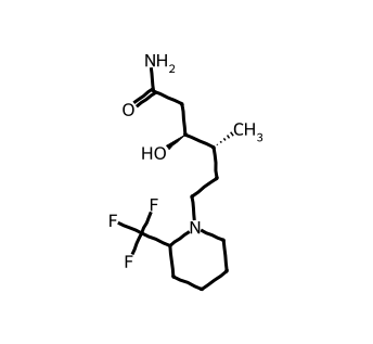 C[C@H](CCN1CCCCC1C(F)(F)F)[C@@H](O)CC(N)=O